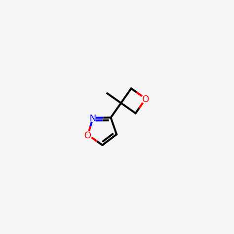 CC1(c2ccon2)COC1